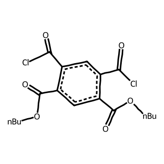 CCCCOC(=O)c1cc(C(=O)OCCCC)c(C(=O)Cl)cc1C(=O)Cl